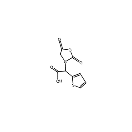 O=C1CN(C(C(=O)O)c2cccs2)C(=O)O1